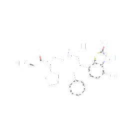 C=CC(=O)N(CCN(CC(Cc1ccccc1)c1ccc(O)c2[nH]c(=O)sc12)C(=O)O)C1CCCC1